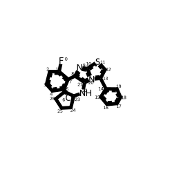 Fc1cccc(Cl)c1-c1nc2scc(-c3ccccc3)n2c1NC1CCCC1